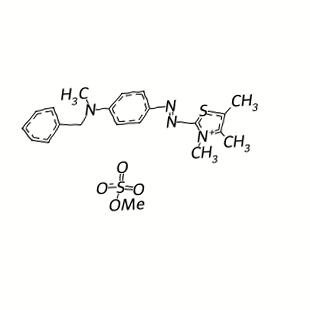 COS(=O)(=O)[O-].Cc1sc(N=Nc2ccc(N(C)Cc3ccccc3)cc2)[n+](C)c1C